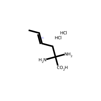 C/C=C/CC(N)(N)C(=O)O.Cl.Cl